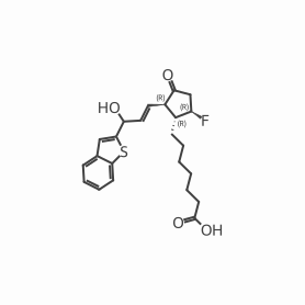 O=C(O)CCCCCC[C@H]1[C@H](F)CC(=O)[C@@H]1C=CC(O)c1cc2ccccc2s1